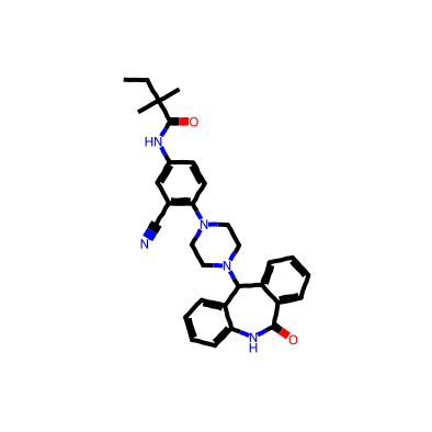 CCC(C)(C)C(=O)Nc1ccc(N2CCN(C3c4ccccc4NC(=O)c4ccccc43)CC2)c(C#N)c1